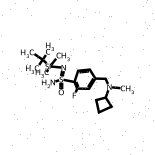 CN(Cc1ccc(S(N)(=O)=N[Si](C)(C)C(C)(C)C)c(F)c1)C1CCC1